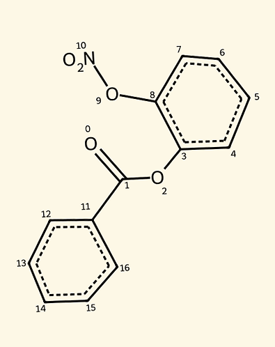 O=C(Oc1ccccc1O[N+](=O)[O-])c1ccccc1